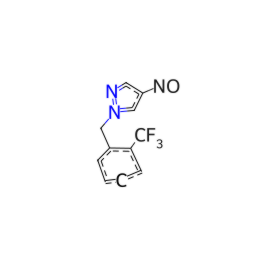 O=Nc1cnn(Cc2ccccc2C(F)(F)F)c1